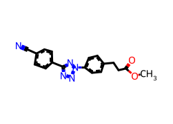 COC(=O)CCc1ccc(-n2nnc(-c3ccc(C#N)cc3)n2)cc1